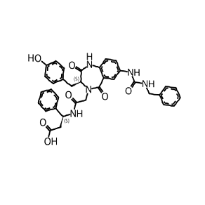 O=C(O)C[C@H](NC(=O)CN1C(=O)c2cc(NC(=O)NCc3ccccc3)ccc2NC(=O)[C@@H]1Cc1ccc(O)cc1)c1ccccc1